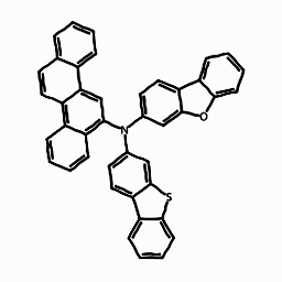 c1ccc2c(c1)ccc1c3ccccc3c(N(c3ccc4c(c3)oc3ccccc34)c3ccc4c(c3)sc3ccccc34)cc21